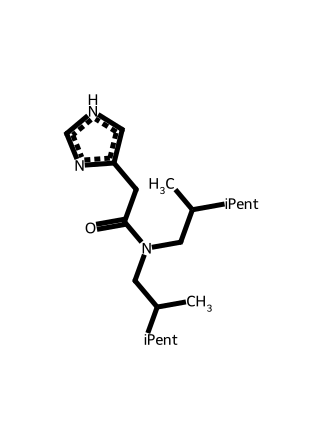 CCCC(C)C(C)CN(CC(C)C(C)CCC)C(=O)Cc1c[nH]cn1